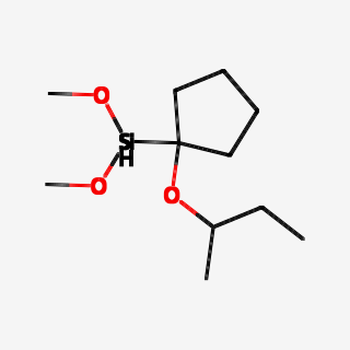 CCC(C)OC1([SiH](OC)OC)CCCC1